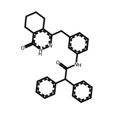 O=C(Nc1cccc(Cc2n[nH]c(=O)c3c2CCCC3)c1)C(c1ccccc1)c1ccccc1